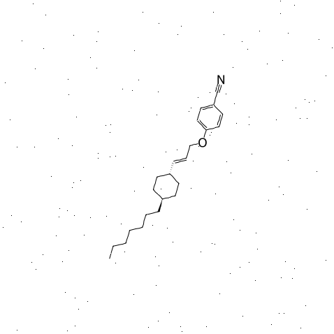 CCCCCCC[C@H]1CC[C@H](/C=C/COc2ccc(C#N)cc2)CC1